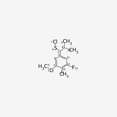 COc1cc(C(SCl)C(C)C)cc(F)c1C